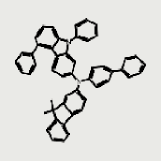 CC1(C)c2ccccc2-c2ccc(N(c3ccc(-c4ccccc4)cc3)c3ccc4c5c(-c6ccccc6)cccc5n(-c5ccccc5)c4c3)cc21